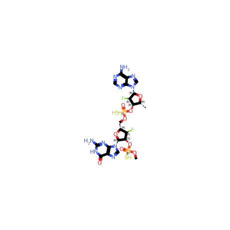 CO[P@@](=O)(S)O[C@@H]1[C@H](F)[C@@H](CO[P@](=O)(S)O[C@H]2[C@@H](F)[C@H](n3cnc4c(N)ncnc43)O[C@@H]2C)O[C@H]1n1cnc2c(=O)[nH]c(N)nc21